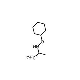 C[C@@H]([C]=O)NOC1CCCCC1